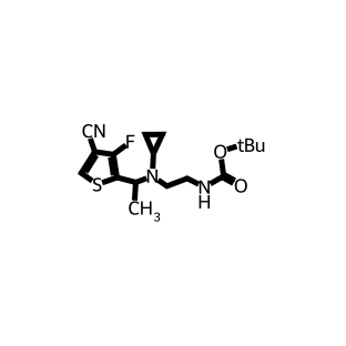 CC(c1scc(C#N)c1F)N(CCNC(=O)OC(C)(C)C)C1CC1